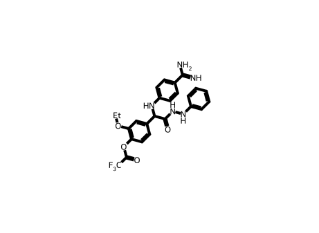 CCOc1cc(C(Nc2ccc(C(=N)N)cc2)C(=O)NNc2ccccc2)ccc1OC(=O)C(F)(F)F